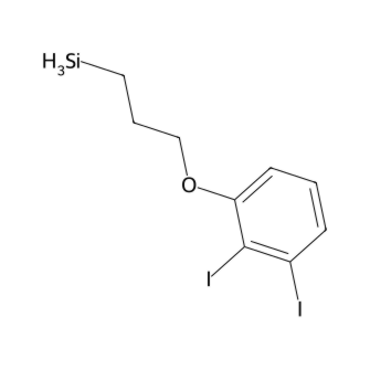 [SiH3]CCCOc1cccc(I)c1I